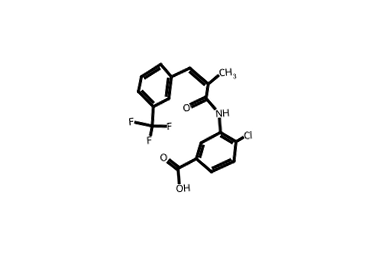 CC(=Cc1cccc(C(F)(F)F)c1)C(=O)Nc1cc(C(=O)O)ccc1Cl